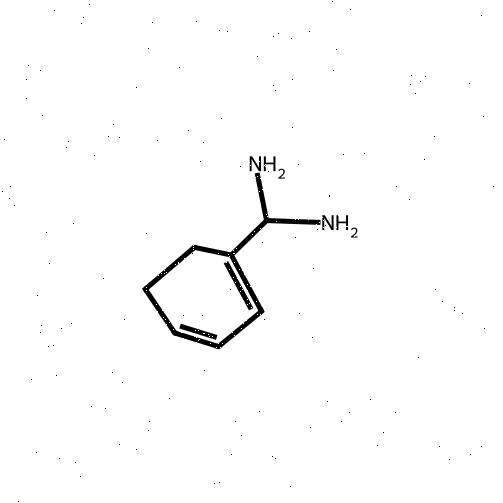 NC(N)C1=CC=CCC1